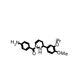 COc1ccc(C2CC=CN(C(=O)c3ccc(N)cc3)N2)cc1OC(C)C